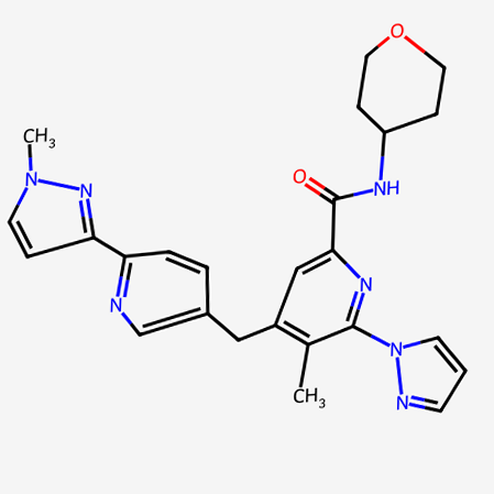 Cc1c(Cc2ccc(-c3ccn(C)n3)nc2)cc(C(=O)NC2CCOCC2)nc1-n1cccn1